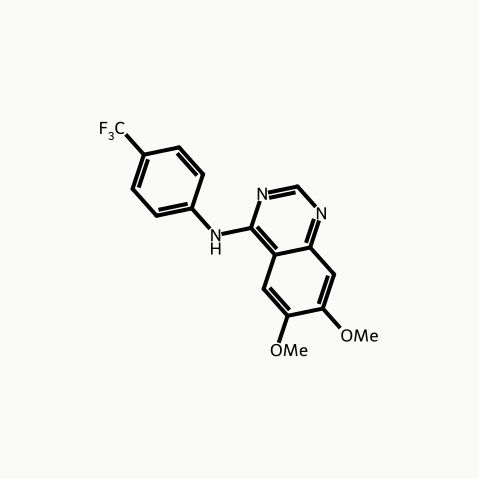 COc1cc2ncnc(Nc3ccc(C(F)(F)F)cc3)c2cc1OC